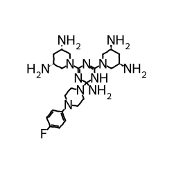 N[C@@H]1C[C@H](N)CN(C2=NC(N)(N3CCN(c4ccc(F)cc4)CC3)NC(N3C[C@H](N)C[C@H](N)C3)=N2)C1